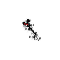 CCC(SC[C@H](N)C(=O)O)C(=O)NCCOCCNC(=O)[C@@H](N)CCN(C(=O)CO)[C@@H](c1cc(-c2cc(F)ccc2F)cn1Cc1ccccc1)C(C)(C)C